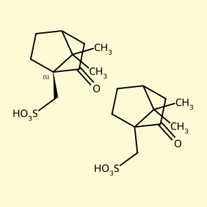 CC1(C)C2CCC1(CS(=O)(=O)O)C(=O)C2.CC1(C)C2CC[C@@]1(CS(=O)(=O)O)C(=O)C2